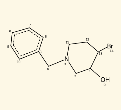 OC1CN(Cc2ccccc2)CCC1Br